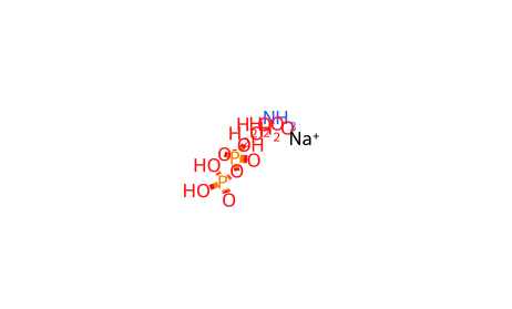 N.O.O.O.O.O=P([O-])(O)OP(=O)(O)O.[Na+]